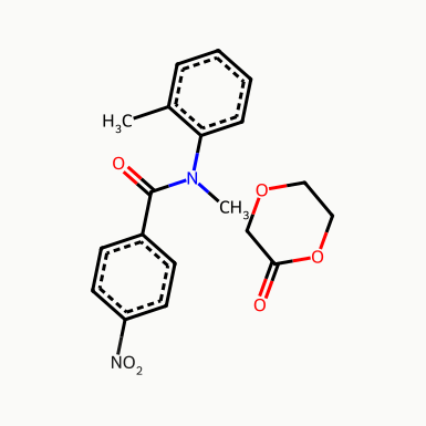 Cc1ccccc1N(C)C(=O)c1ccc([N+](=O)[O-])cc1.O=C1COCCO1